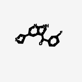 O=C(c1cccc(F)c1)c1c[nH]c2ncc(-c3ccsc3)cc12